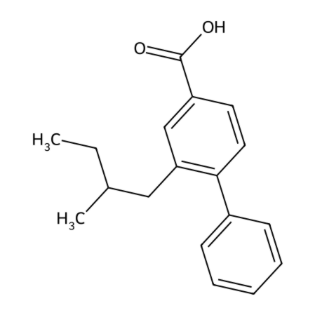 CCC(C)Cc1cc(C(=O)O)ccc1-c1ccccc1